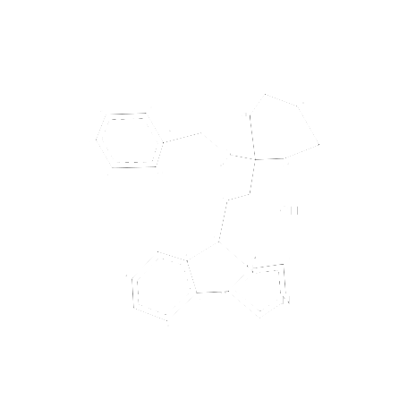 O[C@H](CC1c2ccccc2-c2cncn21)C1(OCc2ccccc2)CCCCC1